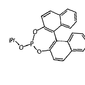 CC(C)Op1oc2ccc3ccccc3c2c2c(ccc3ccccc32)o1